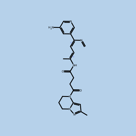 C=N/C(=C\C=C(/C)NC(=O)CCC(=O)N1CCCn2nc(C)cc21)c1cncc(N)c1